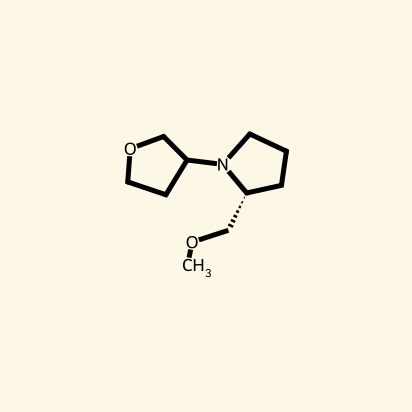 COC[C@H]1CCCN1C1CCOC1